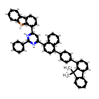 CC1(C)c2ccccc2-c2cccc(-c3ccc(-c4ccc(-c5cc(-c6cccc7c6sc6ccccc67)nc(-c6ccccc6)n5)c5ccccc45)cc3)c21